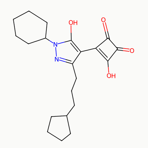 O=c1c(O)c(-c2c(CCCC3CCCC3)nn(C3CCCCC3)c2O)c1=O